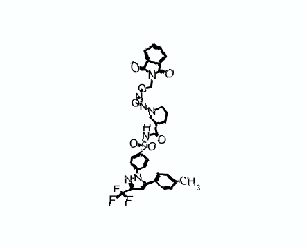 Cc1ccc(-c2cc(C(F)(F)F)nn2-c2ccc(S(=O)(=O)NC(=O)C3CCCN(n4on4OCN4C(=O)c5ccccc5C4=O)C3)cc2)cc1